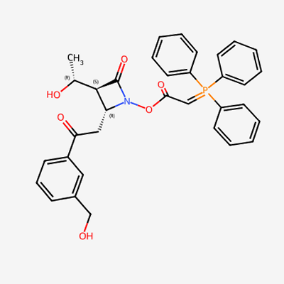 C[C@@H](O)[C@H]1C(=O)N(OC(=O)C=P(c2ccccc2)(c2ccccc2)c2ccccc2)[C@@H]1CC(=O)c1cccc(CO)c1